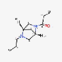 CCCN1C[C@@H]2C[C@H]1CN2C(=O)CC